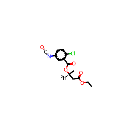 [2H][C@](C)(CC(=O)OCC)OC(=O)c1cc(N=C=O)ccc1Cl